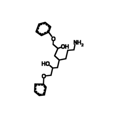 NCCCC(CC(O)COc1ccccc1)CC(O)COc1ccccc1